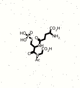 CC(=O)N(CC(=O)O)C(=O)C(CSP(=O)(O)O)NC(=O)CCC(N)C(=O)O